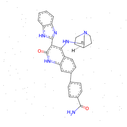 NC(=O)c1ccc(-c2ccc3c(N[C@H]4CN5CCC4CC5)c(-c4nc5ccccc5[nH]4)c(=O)[nH]c3c2)cc1